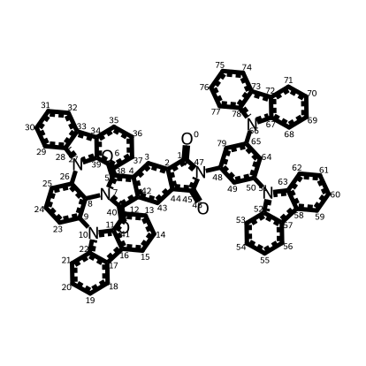 O=c1c2cc3c(=O)n(-c4c(-n5c6ccccc6c6ccccc65)cccc4-n4c5ccccc5c5ccccc54)c(=O)c3cc2c(=O)n1-c1cc(-n2c3ccccc3c3ccccc32)cc(-n2c3ccccc3c3ccccc32)c1